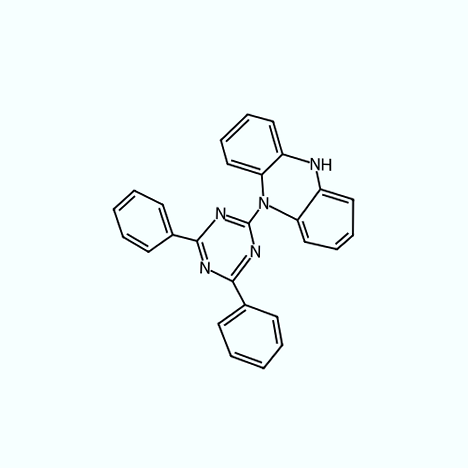 c1ccc(-c2nc(-c3ccccc3)nc(N3c4ccccc4Nc4ccccc43)n2)cc1